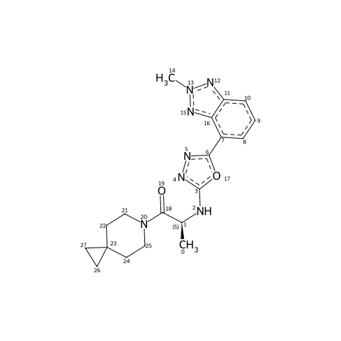 C[C@H](Nc1nnc(-c2cccc3nn(C)nc23)o1)C(=O)N1CCC2(CC1)CC2